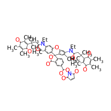 CCN(C(=O)CC(C)(C)C1=C(C)C(=O)C(C)=C(C)C1=O)c1cc2c(cc1C)C1(OC(=O)c3cc(C(=O)ON4C(=O)C=CC4=O)ccc31)c1cc(C)c(N(CC)C(=O)CC(C)(C)C3=C(C)C(=O)C(C)=C(C)C3=O)cc1O2